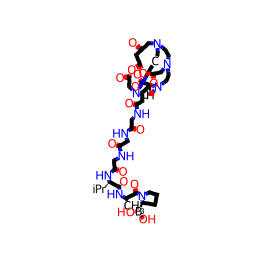 CC(C)[C@H](NC(=O)CNC(=O)CNC(=O)CNC(=O)CC[C@@H]1C(=O)OC23CC(=O)CN4CCN(CCN1CCN(CC4)CC(=O)O2)CC(=O)O3)C(=O)N[C@H](C)C(=O)N1CCC[C@H]1B(O)O